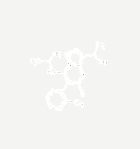 CC(O)c1cnn2c(NC(C)C(F)(F)F)c(-c3ncccc3C(F)(F)F)c(Cl)nc12